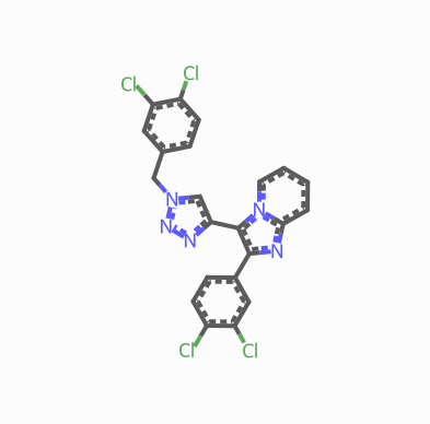 Clc1ccc(Cn2cc(-c3c(-c4ccc(Cl)c(Cl)c4)nc4ccccn34)nn2)cc1Cl